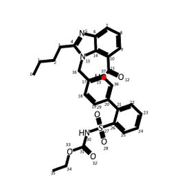 CCCCc1nc2cccc(C(=O)O)c2n1Cc1ccc(-c2ccccc2S(=O)(=O)NC(=O)OCC)cc1